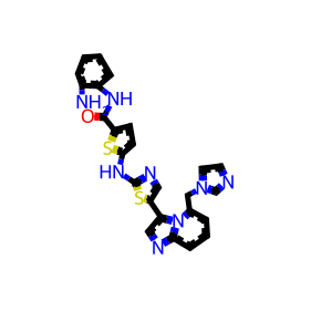 Nc1ccccc1NC(=O)c1ccc(Nc2ncc(-c3cnc4cccc(Cn5ccnc5)n34)s2)s1